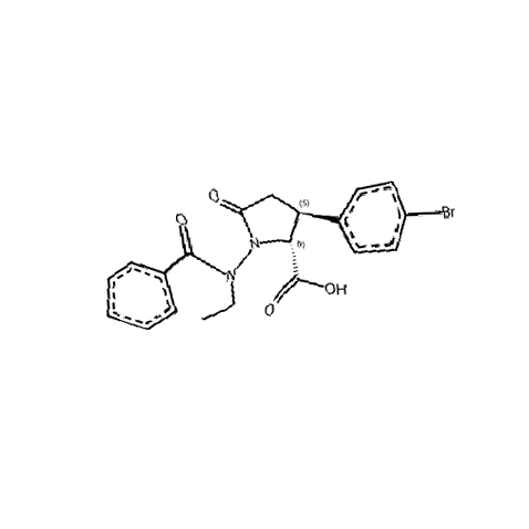 CCN(C(=O)c1ccccc1)N1C(=O)C[C@@H](c2ccc(Br)cc2)[C@@H]1C(=O)O